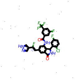 O=C(Nc1cc(/C=C(\F)c2cn[nH]c2)cc2c1C(c1cc(F)ccc1Cl)NC2=O)c1cc(F)cc(C(F)(F)F)c1